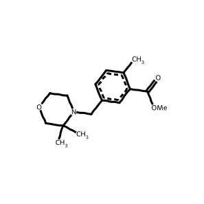 COC(=O)c1cc(CN2CCOCC2(C)C)ccc1C